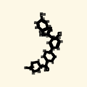 CN1CCN(C(=O)C2CCN(c3ccc(Cl)c(-c4nc5cc(F)ccc5[nH]4)c3)CC2)CC1